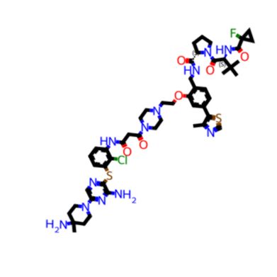 Cc1ncsc1-c1ccc(CNC(=O)[C@@H]2CCCN2C(=O)[C@@H](NC(=O)C2(F)CC2)C(C)(C)C)c(OCCN2CCN(C(=O)CC(=O)Nc3cccc(Sc4ncc(N5CCC(C)(N)CC5)nc4N)c3Cl)CC2)c1